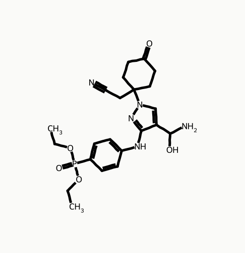 CCOP(=O)(OCC)c1ccc(Nc2nn(C3(CC#N)CCC(=O)CC3)cc2C(N)O)cc1